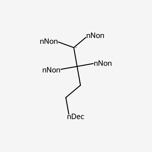 CCCCCCCCCCCCC(CCCCCCCCC)(CCCCCCCCC)[C](CCCCCCCCC)CCCCCCCCC